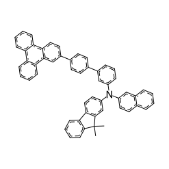 CC1(C)c2ccccc2-c2ccc(N(c3cccc(-c4ccc(-c5ccc6c7ccccc7c7ccccc7c6c5)cc4)c3)c3ccc4ccccc4c3)cc21